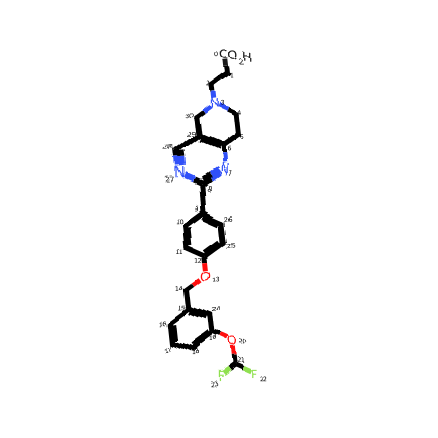 O=C(O)CCN1CCc2nc(-c3ccc(OCc4cccc(OC(F)F)c4)cc3)ncc2C1